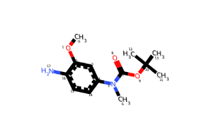 COc1cc(N(C)C(=O)OC(C)(C)C)ccc1N